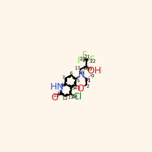 C[C@@H]1COc2c(ccc3[nH]c(=O)cc(Cl)c23)N1C[C@H](O)C(F)(F)F